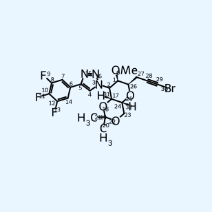 CO[C@@H]1C(n2cc(-c3cc(F)c(F)c(F)c3)nn2)[C@H]2OC(C)(C)OC[C@H]2O[C@@H]1CC#CBr